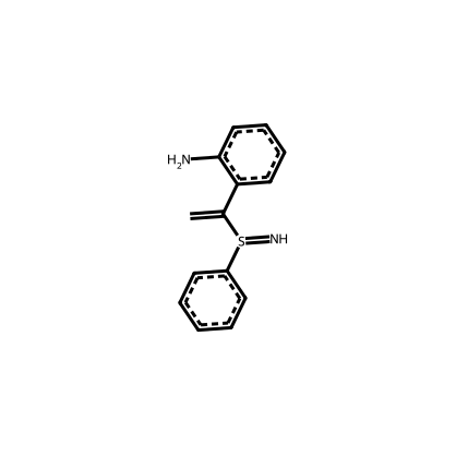 C=C(c1ccccc1N)S(=N)c1ccccc1